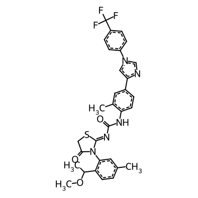 COC(C)c1ccc(C)cc1N1C(=O)CS/C1=N\C(=O)Nc1ccc(-c2cn(-c3ccc(C(F)(F)F)cc3)cn2)cc1C